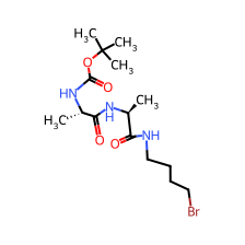 C[C@H](NC(=O)OC(C)(C)C)C(=O)N[C@@H](C)C(=O)NCCCCBr